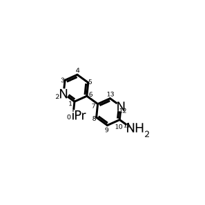 CC(C)c1ncccc1-c1ccc(N)nc1